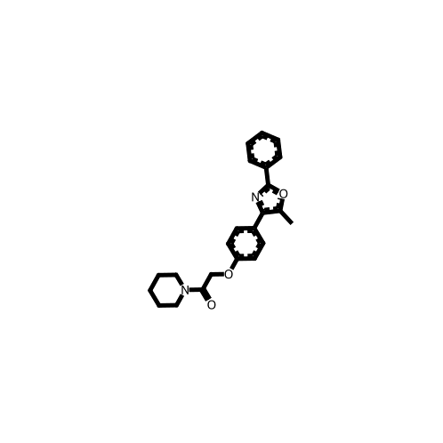 Cc1oc(-c2ccccc2)nc1-c1ccc(OCC(=O)N2CCCCC2)cc1